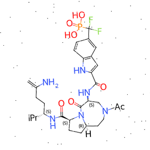 C=C(N)CC[C@H](NC(=O)[C@@H]1CC[C@@H]2CCN(C(C)=O)C[C@H](NC(=O)c3cc4cc(C(F)(F)P(=O)(O)O)ccc4[nH]3)C(=O)N21)C(C)C